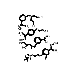 CC(C)(C)[Si](C)(C)OCCOc1ccc(/C(N)=N/O)cc1F.CN(Cc1cccc(/C(N)=N/O)c1)CC(O)CO.N/C(=N\O)c1ccc(OCCO)cc1.N/C(=N\O)c1cccc(CN(CCO)CCO)c1